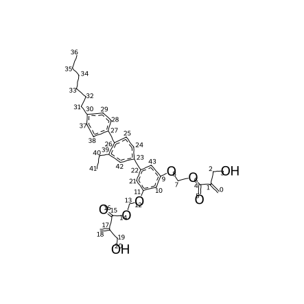 C=C(CO)C(=O)OCOc1cc(OCOC(=O)C(=C)CO)cc(-c2ccc(-c3ccc(CCCCCC)cc3)c(CC)c2)c1